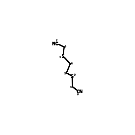 N#CCSCCSCC#N